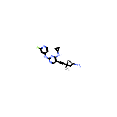 CC(C)(C#Cc1cnc(Nc2ccnc(F)c2)nc1NC1CC1)CCN